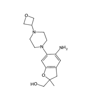 CC1(CO)Cc2cc(N)c(N3CCN(C4COC4)CC3)cc2O1